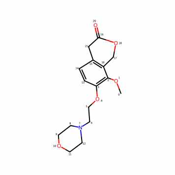 COc1c(OCCN2CCOCC2)ccc2c1COC(=O)C2